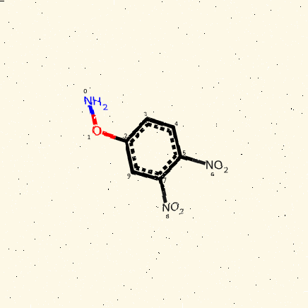 NOc1ccc([N+](=O)[O-])c([N+](=O)[O-])c1